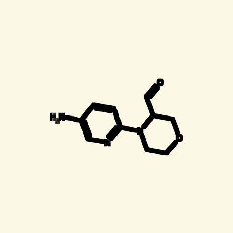 Nc1ccc(N2CCOCC2C=O)nc1